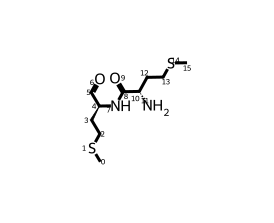 CSCC[C@@H](C=O)NC(=O)[C@@H](N)CCSC